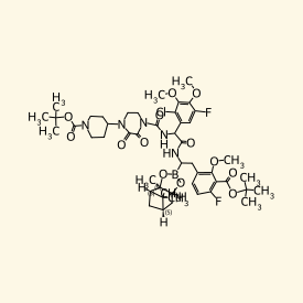 COc1c(F)cc(C(NC(=O)N2CCN(C3CCN(C(=O)OC(C)(C)C)CC3)C(=O)C2=O)C(=O)NC(Cc2ccc(F)c(C(=O)OC(C)(C)C)c2OC)B2O[C@@H]3C[C@@H]4C[C@@H](C4(C)C)[C@]3(C)O2)c(Cl)c1OC